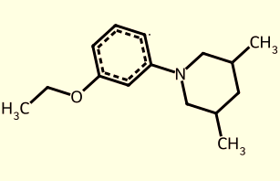 CCOc1cc[c]c(N2CC(C)CC(C)C2)c1